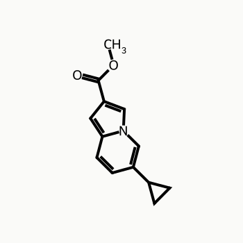 COC(=O)c1cc2ccc(C3CC3)cn2c1